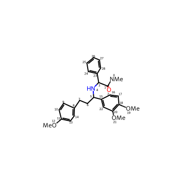 CNC(=O)C(NC(CCc1ccc(OC)cc1)c1ccc(OC)c(OC)c1)c1ccccc1